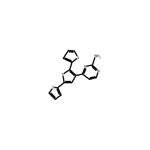 Nc1nccc(-c2cc(-c3cccs3)sc2-c2cccs2)n1